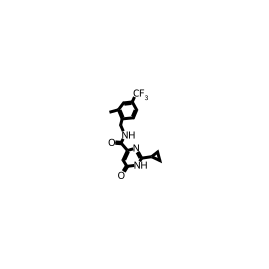 Cc1cc(C(F)(F)F)ccc1CNC(=O)c1cc(=O)[nH]c(C2CC2)n1